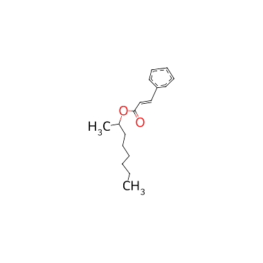 CCCCCCC(C)OC(=O)/C=C/c1ccccc1